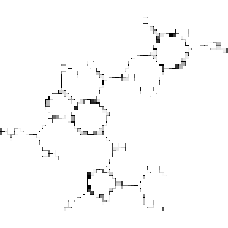 Cc1cc(Nc2cc(C(=O)NCc3c(C)cc(C)[nH]c3=O)c3c(C)cn(C(C)C)c3c2)n(C(C)C)n1